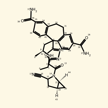 CCc1nnc(C2(C[C@H](C)NCC(=O)N3C(C#N)C[C@@H]4C[C@@H]43)c3ccc(C(N)=O)cc3CCc3cc(C(N)=O)ccc32)o1